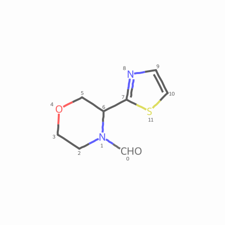 O=CN1CCOCC1c1nccs1